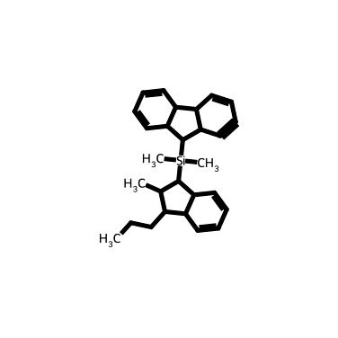 CCCC1C(C)C([Si](C)(C)C2C3C#CC=CC3C3C=CC=CC32)C2C=CC=CC21